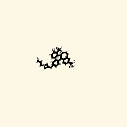 O=C(O)c1ccc2c(c1)CCCC(c1cccc(Cl)c1C(F)(F)F)=C2c1ccc(CC2CN(CCCF)C2)cc1